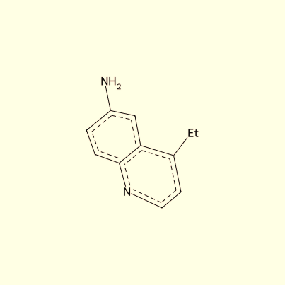 CCc1ccnc2ccc(N)cc12